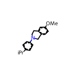 COc1ccc2c(c1)CCN(c1ccc(C(C)C)cc1)C2